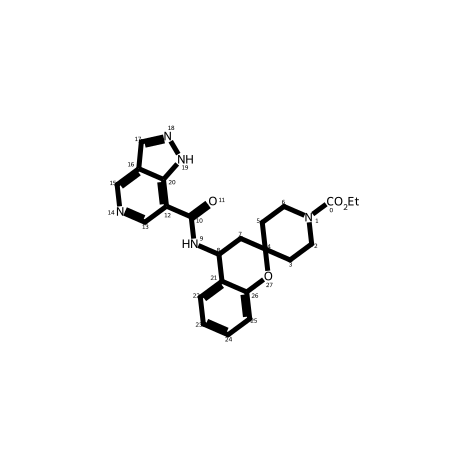 CCOC(=O)N1CCC2(CC1)CC(NC(=O)c1cncc3cn[nH]c13)c1ccccc1O2